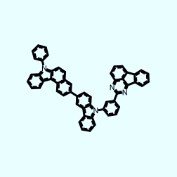 c1ccc(-n2c3ccccc3c3c4ccc(-c5ccc6c(c5)c5ccccc5n6-c5cccc(-c6nc7c8c(cccc8n6)-c6ccccc6-7)c5)cc4ccc32)cc1